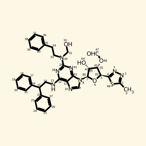 Cc1nnc([C@H]2O[C@@H](n3cnc4c(NCC(c5ccccc5)c5ccccc5)nc(N(CO)CCc5ccccc5)nc43)[C@H](O)[C@@H]2OC=O)s1